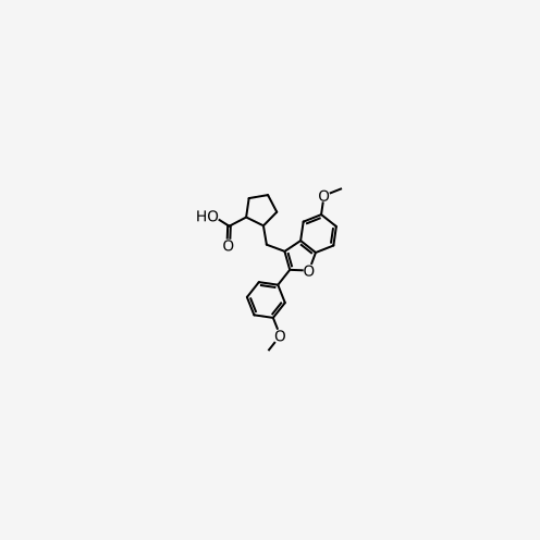 COc1cccc(-c2oc3ccc(OC)cc3c2CC2CCCC2C(=O)O)c1